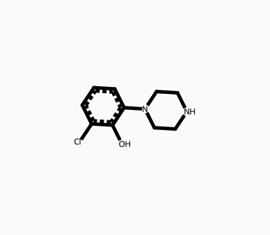 Oc1c(Cl)cccc1N1CCNCC1